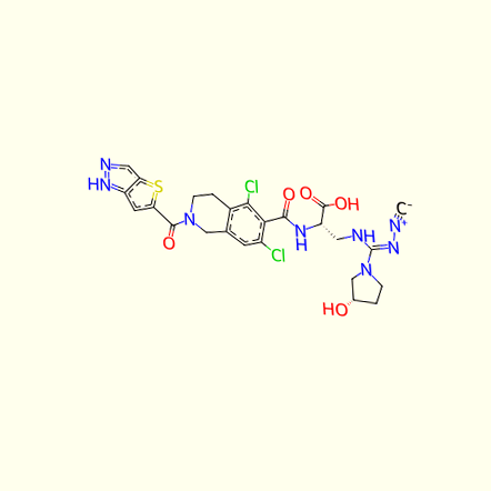 [C-]#[N+]/N=C(\NC[C@H](NC(=O)c1c(Cl)cc2c(c1Cl)CCN(C(=O)c1cc3[nH]ncc3s1)C2)C(=O)O)N1CC[C@H](O)C1